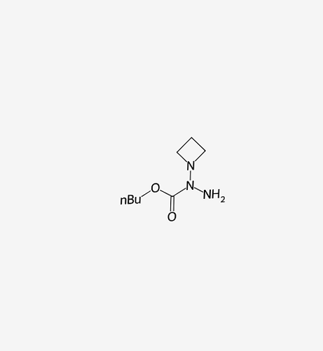 CCCCOC(=O)N(N)N1CCC1